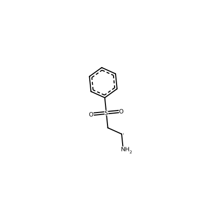 N[C]CS(=O)(=O)c1ccccc1